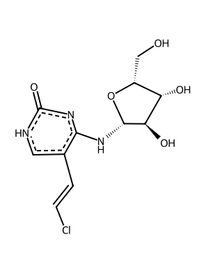 O=c1nc(N[C@@H]2O[C@H](CO)[C@H](O)[C@H]2O)c(C=CCl)c[nH]1